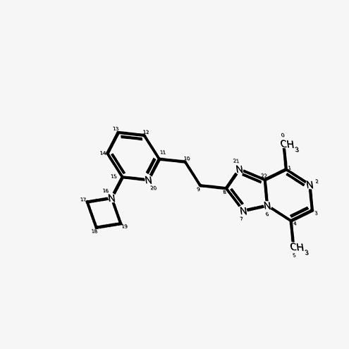 Cc1ncc(C)n2nc(CCc3cccc(N4CCC4)n3)nc12